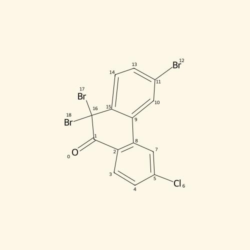 O=C1c2ccc(Cl)cc2-c2cc(Br)ccc2C1(Br)Br